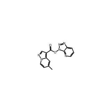 Cc1ccn2ncc(C(=O)On3nnc4cccnc43)c2c1